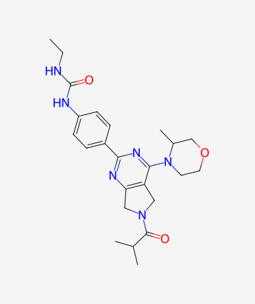 CCNC(=O)Nc1ccc(-c2nc3c(c(N4CCOCC4C)n2)CN(C(=O)C(C)C)C3)cc1